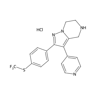 Cl.FC(F)(F)Sc1ccc(-c2nn3c(c2-c2ccncc2)CNCC3)cc1